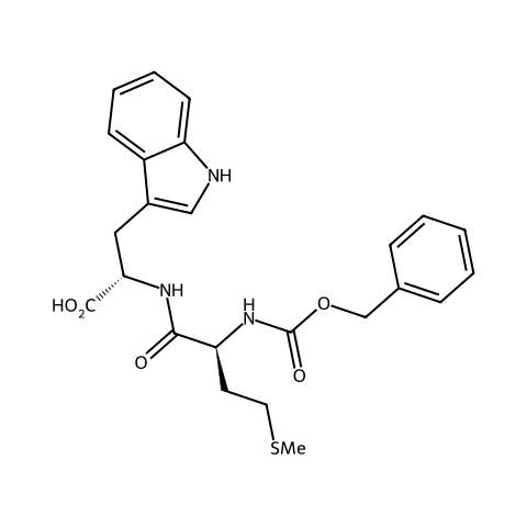 CSCC[C@H](NC(=O)OCc1ccccc1)C(=O)N[C@@H](Cc1c[nH]c2ccccc12)C(=O)O